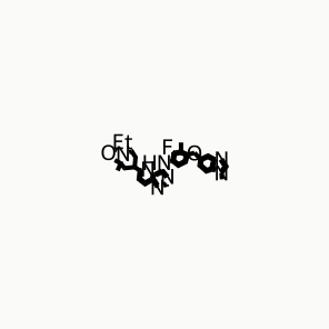 CCC(=O)N1CCC(c2ccc3ncnc(Nc4ccc(Oc5ccc6c(c5)ncn6C)c(C)c4F)c3n2)CC1(C)C